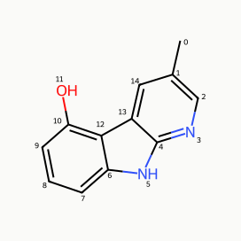 Cc1cnc2[nH]c3cccc(O)c3c2c1